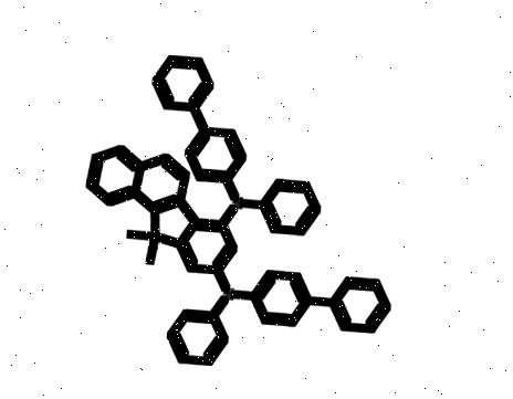 CC1(C)c2cc(N(c3ccccc3)c3ccc(-c4ccccc4)cc3)cc(N(c3ccccc3)c3ccc(-c4ccccc4)cc3)c2-c2ccc3ccccc3c21